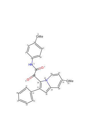 COc1ccc(NC(=O)C(=O)c2c(-c3ccccc3)cc3cc(OC)ccn23)cc1